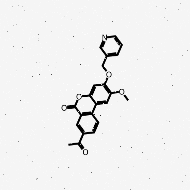 COc1cc2c(cc1OCc1cccnc1)oc(=O)c1cc(C(C)=O)ccc12